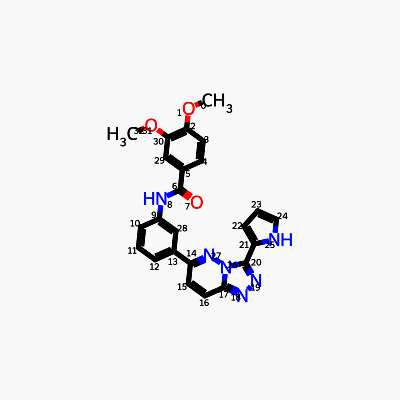 COc1ccc(C(=O)Nc2cccc(-c3ccc4nnc(-c5ccc[nH]5)n4n3)c2)cc1OC